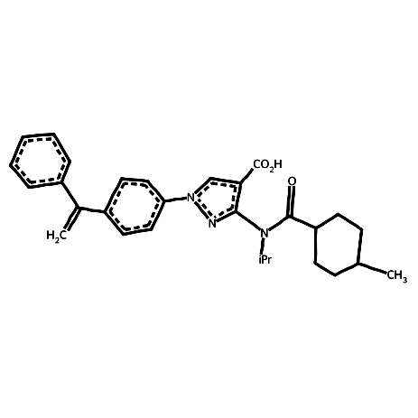 C=C(c1ccccc1)c1ccc(-n2cc(C(=O)O)c(N(C(=O)C3CCC(C)CC3)C(C)C)n2)cc1